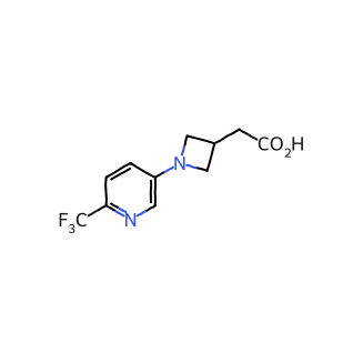 O=C(O)CC1CN(c2ccc(C(F)(F)F)nc2)C1